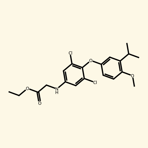 CCOC(=O)CNc1cc(Cl)c(Oc2ccc(OC)c(C(C)C)c2)c(Cl)c1